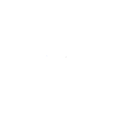 C=CC[SiH2]C1CNCCO1